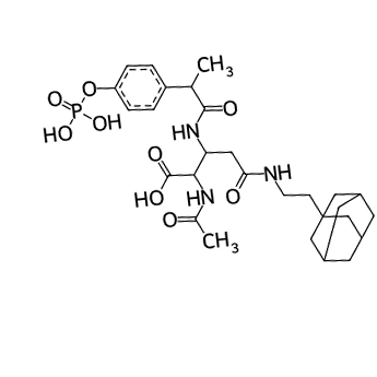 CC(=O)NC(C(=O)O)C(CC(=O)NCCC12CC3CC(CC(C3)C1)C2)NC(=O)C(C)c1ccc(OP(=O)(O)O)cc1